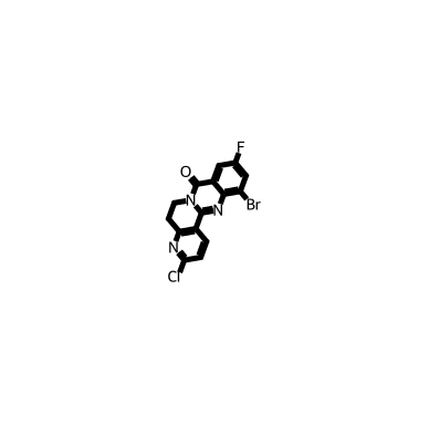 O=c1c2cc(F)cc(Br)c2nc2n1CCc1nc(Cl)ccc1-2